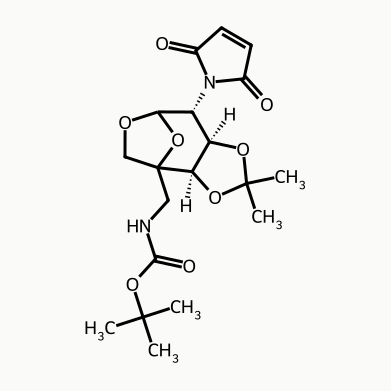 CC(C)(C)OC(=O)NCC12COC(O1)[C@H](N1C(=O)C=CC1=O)[C@H]1OC(C)(C)O[C@H]12